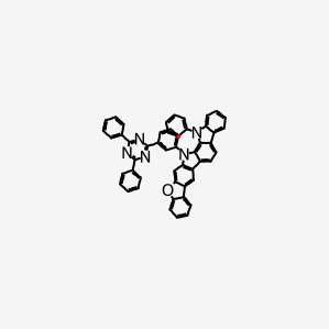 c1ccc(-c2nc(-c3ccccc3)nc(-c3cccc(-n4c5cc6oc7ccccc7c6cc5c5ccc6c7ccccc7n(-c7ccccc7)c6c54)c3)n2)cc1